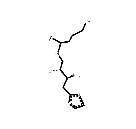 CC(C)CCCC(C)NC[C@@H](O)[C@@H](N)Cc1nccs1